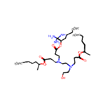 CCCCCCCCCCCCCC(C)OC(=O)CCN(CCO)CCN(CCC(=O)OC(C)CCCCCCCCCCCCC)CCC(=O)OC(CCCCCCCCCCCCC)C(N)(N)N